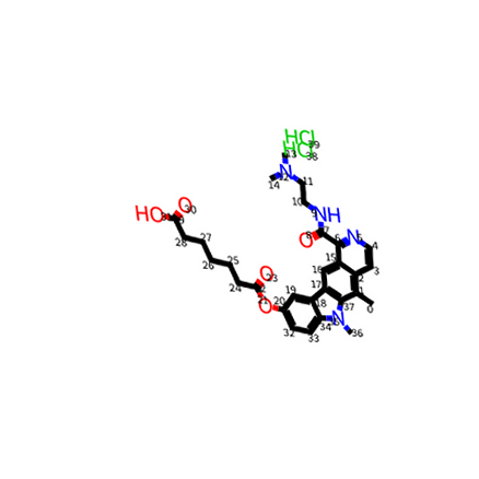 Cc1c2ccnc(C(=O)NCCN(C)C)c2cc2c3cc(OC(=O)CCCCCC(=O)O)ccc3n(C)c12.Cl.Cl